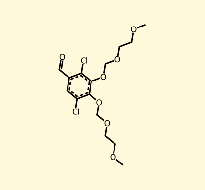 COCCOCOc1c(Cl)cc(C=O)c(Cl)c1OCOCCOC